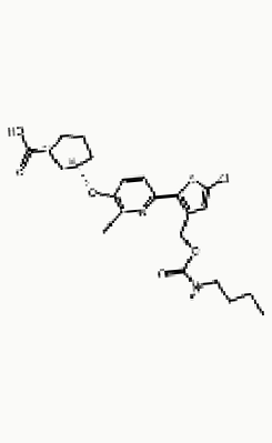 CCCCN(C)C(=O)OCc1cc(Cl)sc1-c1ccc(O[C@H]2CCC[C@H](C(=O)O)C2)c(C)n1